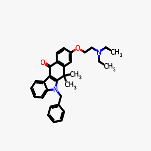 CCN(CC)CCOc1ccc2c(c1)C(C)(C)c1c(c3ccccc3n1Cc1ccccc1)C2=O